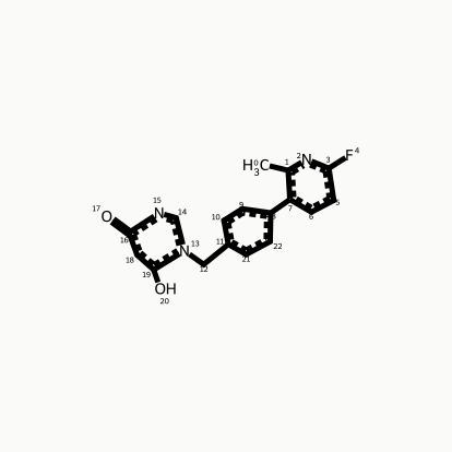 Cc1nc(F)ccc1-c1ccc(Cn2cnc(=O)cc2O)cc1